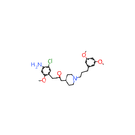 COc1cc(CCCN2CCC(CC(=O)Cc3cc(Cl)c(N)cc3OC)CC2)cc(OC)c1